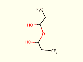 OC(CC(F)(F)F)OC(O)CC(F)(F)F